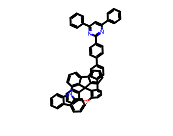 c1ccc(-c2cc(-c3ccccc3)nc(-c3ccc(-c4ccc(-c5cccc6c5C5(c7ccccc7O6)c6ccccc6-c6cccc(-n7c8ccccc8c8ccccc87)c65)cc4)cc3)n2)cc1